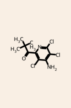 CC(C)(C)C(=O)c1nc(Cl)c(Cl)c(N)c1Cl